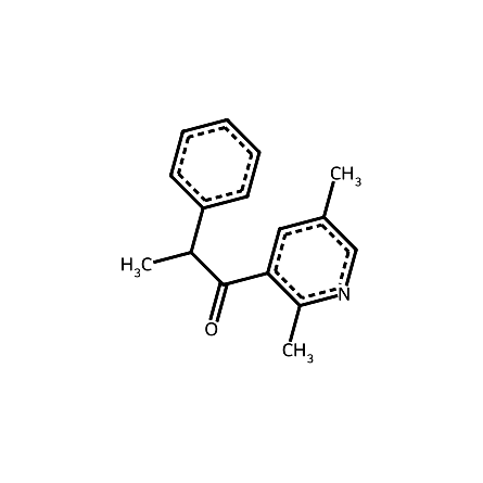 Cc1cnc(C)c(C(=O)C(C)c2ccccc2)c1